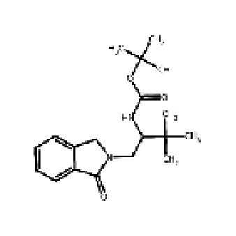 CC(C)(C)OC(=O)NC(CN1Cc2ccccc2C1=O)C(C)(C)C